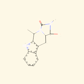 CCCN1C(=O)N2C(C)c3[nH]c4ccccc4c3CC2C1O